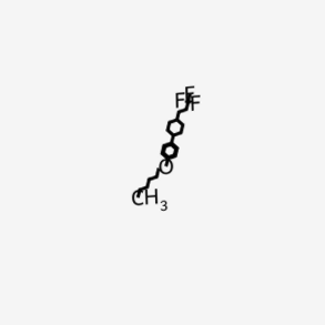 CCCCCCOc1ccc(C2CCC(CCC(F)(F)F)CC2)cc1